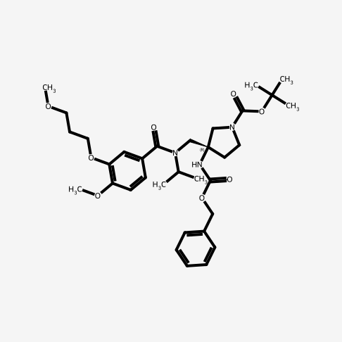 COCCCOc1cc(C(=O)N(C[C@]2(NC(=O)OCc3ccccc3)CCN(C(=O)OC(C)(C)C)C2)C(C)C)ccc1OC